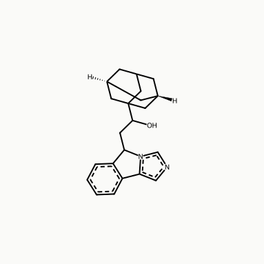 OC(CC1c2ccccc2-c2cncn21)C12CC3C[C@H](C1)C[C@H](C3)C2